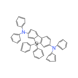 c1ccc(N(c2ccccc2)c2ccc3c(c2)[Si](c2ccccc2)(c2ccccc2)c2cc(N(c4ccccc4)c4ccccc4)ccc2-3)cc1